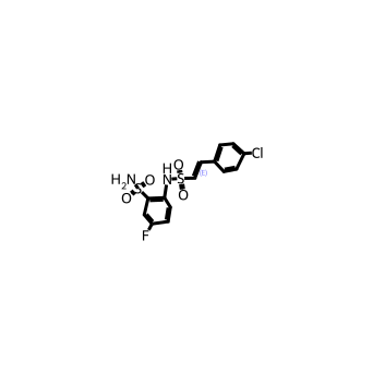 NS(=O)(=O)c1cc(F)ccc1NS(=O)(=O)/C=C/c1ccc(Cl)cc1